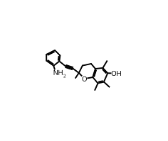 Cc1c(C)c2c(c(C)c1O)CCC(C)(C#Cc1ccccc1N)O2